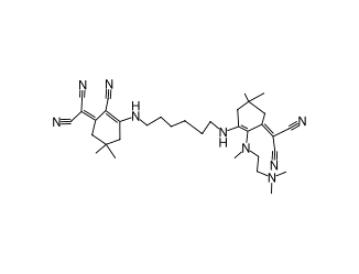 CN(C)CCN(C)C1=C(NCCCCCCNC2=C(C#N)C(=C(C#N)C#N)CC(C)(C)C2)CC(C)(C)CC1=C(C#N)C#N